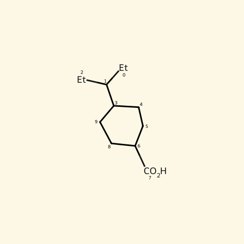 CCC(CC)C1CCC(C(=O)O)CC1